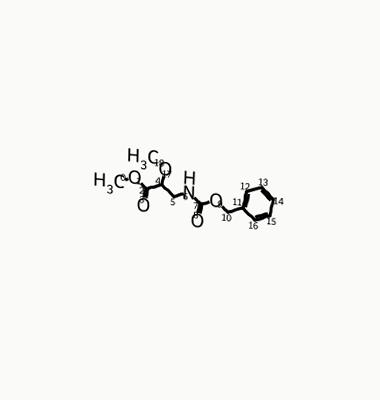 COC(=O)C(CNC(=O)OCc1ccccc1)OC